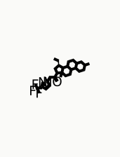 CC[C@@H]1CC(C(=O)Cn2ccc(C(F)(F)F)n2)C2(C)CCC3C4CCC(C)CC4CCC3C12